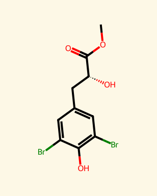 COC(=O)[C@H](O)Cc1cc(Br)c(O)c(Br)c1